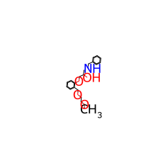 COCCOCc1ccccc1OCC(O)CNCc1ccccc1